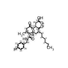 CCCCCCN1C[C@H]2N(C(=O)CN(C)N2C(=O)NCc2ccc(F)cc2)[C@@H](CC(=O)O)C1=O